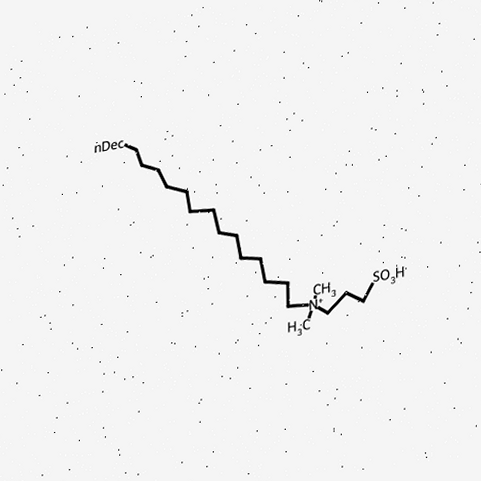 CCCCCCCCCCCCCCCCCCCCCCCC[N+](C)(C)CCCS(=O)(=O)O